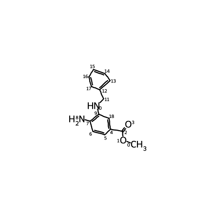 COC(=O)c1ccc(N)c(NCc2ccccc2)c1